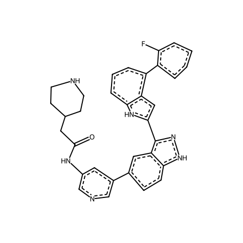 O=C(CC1CCNCC1)Nc1cncc(-c2ccc3[nH]nc(-c4cc5c(-c6ccccc6F)cccc5[nH]4)c3c2)c1